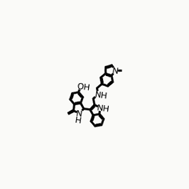 C=C1NC(c2c(CNCc3ccc4c(ccn4C)c3)[nH]c3ccccc23)c2cc(O)ccc21